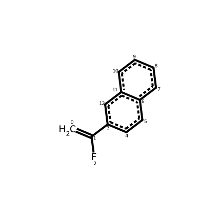 C=C(F)c1ccc2ccccc2c1